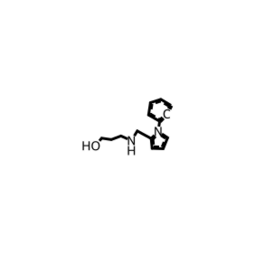 OCCCNCc1cccn1-c1ccccc1